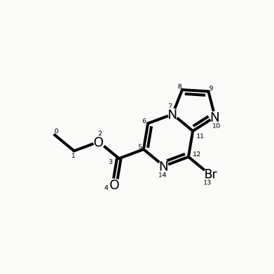 CCOC(=O)c1cn2ccnc2c(Br)n1